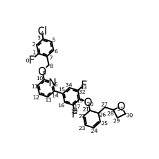 Fc1cc(Cl)ccc1COc1cccc(-c2cc(F)c(OC3C=CC=CC3CC3CCO3)c(F)c2)n1